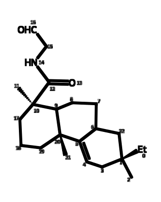 CC[C@@]1(C)CC=C2C(CCC3[C@](C)(C(=O)NCC=O)CCC[C@@]23C)C1